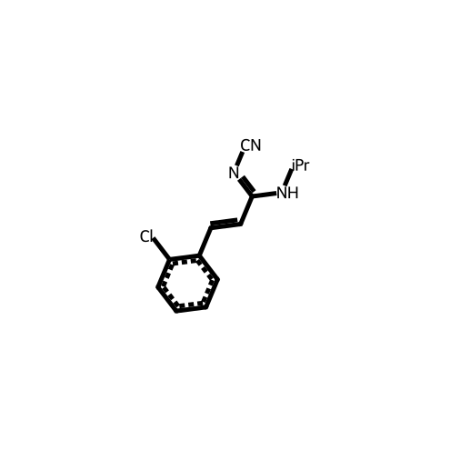 CC(C)NC(C=Cc1ccccc1Cl)=NC#N